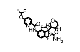 NC1=N[C@](CF)(c2cc(NC(=O)c3ccc(OC(F)F)cn3)ccc2F)[C@H]2COCC[C@H]2O1